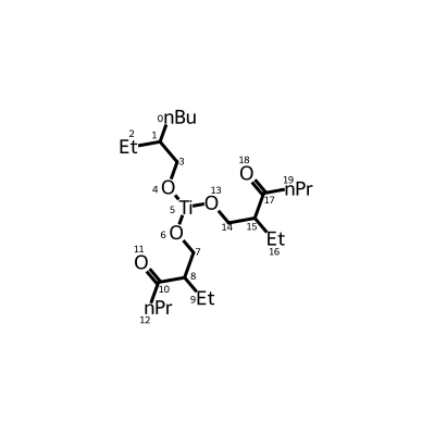 CCCCC(CC)C[O][Ti]([O]CC(CC)C(=O)CCC)[O]CC(CC)C(=O)CCC